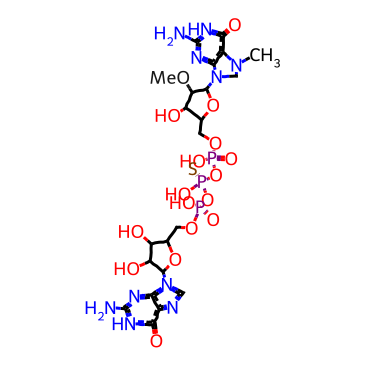 COC1C(O)C(COP(=O)(O)OP(O)(=S)OP(=O)(O)OCC2OC(n3cnc4c(=O)[nH]c(N)nc43)C(O)C2O)OC1N1CN(C)c2c1nc(N)[nH]c2=O